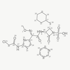 CON=C(C(=O)N[C@@H]1C(=O)N(S(=O)(=O)O)[C@H]1SC1CCCCC1)c1csc(NC(=O)CCl)n1.c1ccncc1